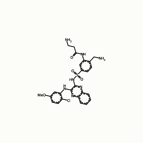 COc1ccc(Cl)c(Nc2nc3ccccc3nc2NS(=O)(=O)c2ccc(CN)c(NC(=O)CCN)c2)c1